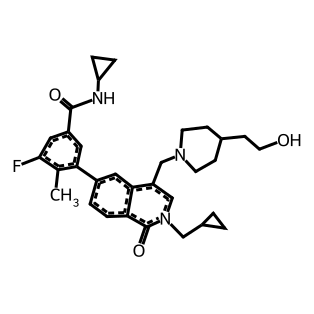 Cc1c(F)cc(C(=O)NC2CC2)cc1-c1ccc2c(=O)n(CC3CC3)cc(CN3CCC(CCO)CC3)c2c1